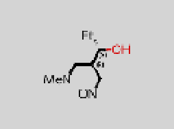 CC[C@H](O)[C@@H](CN=O)CNC